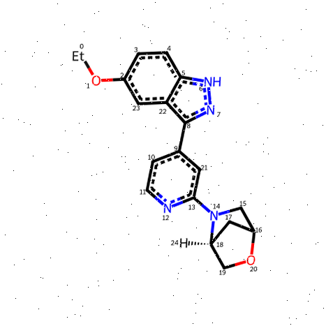 CCOc1ccc2[nH]nc(-c3ccnc(N4CC5C[C@H]4CO5)c3)c2c1